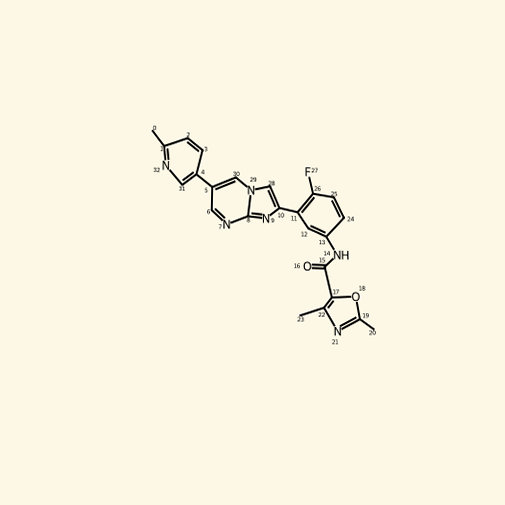 Cc1ccc(-c2cnc3nc(-c4cc(NC(=O)c5oc(C)nc5C)ccc4F)cn3c2)cn1